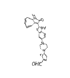 O=Cc1ccc(N2CCN(c3ccc4[nH]c(-c5c6cccccc-6[nH]c5=O)nc4c3)CC2)o1